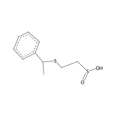 CC(SCCS(=O)O)c1ccccc1